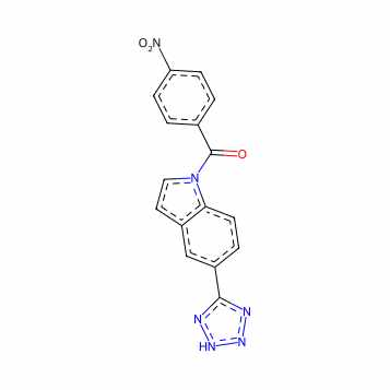 O=C(c1ccc([N+](=O)[O-])cc1)n1ccc2cc(-c3nn[nH]n3)ccc21